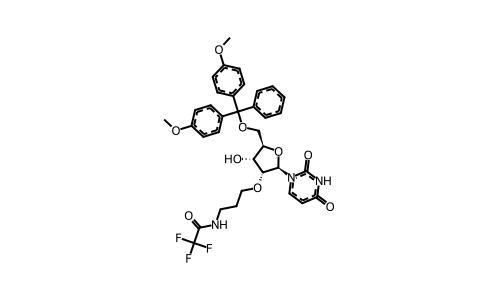 COc1ccc(C(OC[C@H]2O[C@@H](n3ccc(=O)[nH]c3=O)[C@H](OCCCNC(=O)C(F)(F)F)[C@@H]2O)(c2ccccc2)c2ccc(OC)cc2)cc1